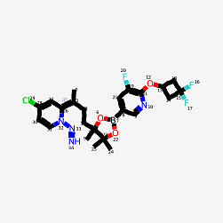 C/C(CCC1(C)OB(c2cnc(OC3CC(F)(F)C3)c(F)c2)OC1(C)C)=C1\C=C(Cl)C=CN1N=N